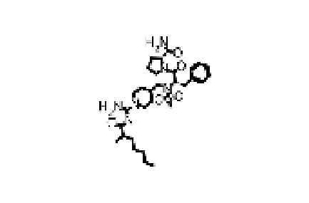 CCCCCC(C)C(=O)N=C(N)N1CCC(CN([C@H](Cc2ccccc2)C(=O)N2CCC[C@H]2C(N)=O)S(C)(=O)=O)CC1